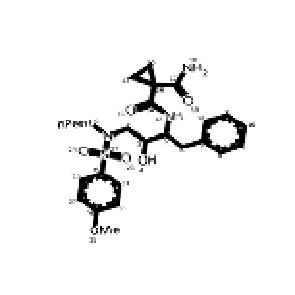 CCCCCN(CC(O)C(Cc1ccccc1)NC(=O)C1(C(N)=O)CC1)S(=O)(=O)c1ccc(OC)cc1